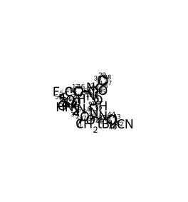 C=C[C@@H]1C[C@]1(NC(=O)[C@@H]1C[C@@H](Oc2nc(-c3ccc(C(F)(F)F)cc3)nc3c2oc2ccccc23)CN1C(=O)C(Nc1ccc(C#N)cc1)C(C)(C)C)C(=O)NS(=O)(=O)C1CC1